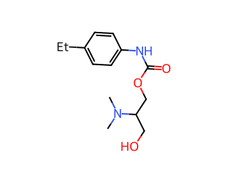 CCc1ccc(NC(=O)OCC(CO)N(C)C)cc1